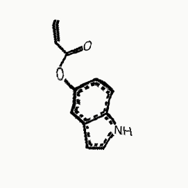 C=CC(=O)Oc1ccc2[nH]ccc2c1